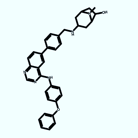 CN1C2CC(NCc3ccc(-c4ccc5ncnc(Nc6ccc(Oc7ccccc7)cc6)c5c4)cc3)CC1C(O)C2